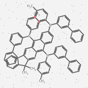 Cc1ccc(N(c2cccc(-c3ccccc3)c2)c2ccc3c(N(c4ccc(C)cc4)c4cccc(-c5ccccc5)c4)c4cc5c(cc4c(N(c4ccc(C)cc4)c4cccc(-c6ccccc6)c4)c3c2)-c2ccccc2C5(C)C)cc1